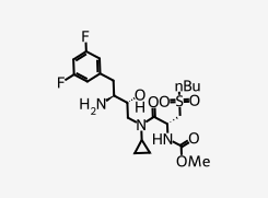 CCCCS(=O)(=O)C[C@H](NC(=O)OC)C(=O)N(C[C@@H](O)[C@@H](N)Cc1cc(F)cc(F)c1)C1CC1